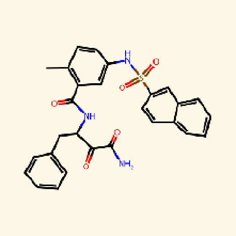 Cc1ccc(NS(=O)(=O)c2ccc3ccccc3c2)cc1C(=O)NC(Cc1ccccc1)C(=O)C(N)=O